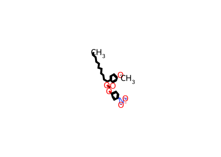 CCCCCCCCCCC(OC(=O)Oc1ccc([N+](=O)[O-])cc1)c1ccc(OC)cc1